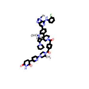 CC1CN(c2ccc(C3CCC(=O)NC3=O)cn2)CCN1C(=O)c1ccc(C(=O)N2CCC(C)(c3ccc(-c4cc5ncn(C(C)C)c5c(Nc5ccccc5F)n4)cc3N(C=O)C3CC(N4CCCCC4)C3)CC2)cc1